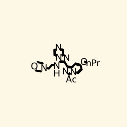 CCCOc1ccn2c(C(C)=O)nc(-c3nc4cnccn4c3NCCN3CCOCC3)c2c1